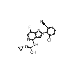 C1CC1.N#Cc1cccc(Cl)c1-n1cc2c(NC(=O)O)ncc(F)c2n1